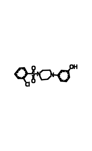 O=S(=O)(c1ccccc1Cl)N1CCN(c2cccc(O)c2)CC1